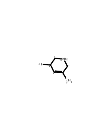 CC1=CC(F)CNC1